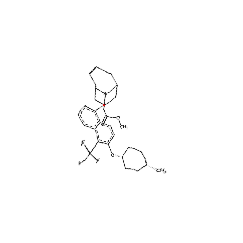 COC(=O)C1CC2CCCC(C1)N2Cc1cccc2c(C(F)(F)F)c(O[C@H]3CC[C@@H](C)CC3)ccc12